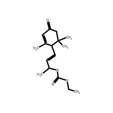 CCOC(=O)OC(C)C=CC1C(C)=CC(=O)CC1(C)C